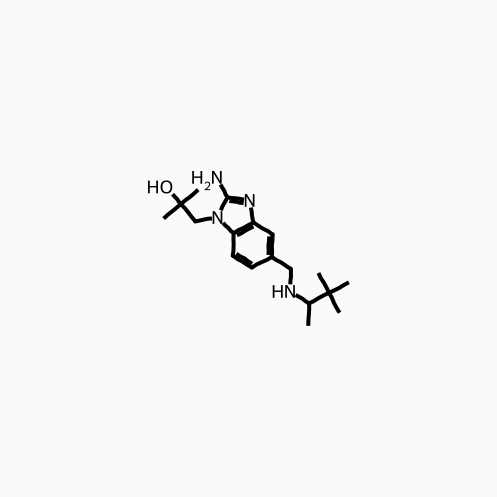 CC(NCc1ccc2c(c1)nc(N)n2CC(C)(C)O)C(C)(C)C